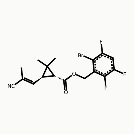 CC(C#N)=C[C@@H]1[C@@H](C(=O)OCc2c(F)c(F)cc(F)c2Br)C1(C)C